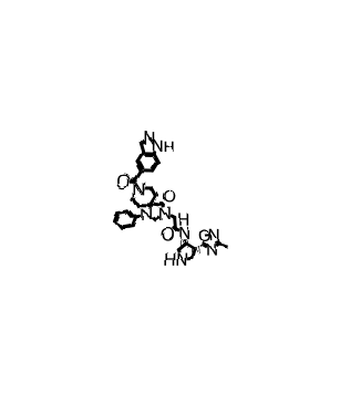 Cc1noc([C@@H]2CNC[C@H]2NC(=O)CN2CN(c3ccccc3)C3(CCN(C(=O)c4ccc5[nH]ncc5c4)CC3)C2=O)n1